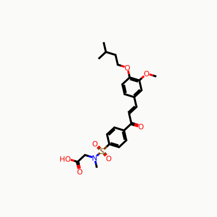 COc1cc(/C=C/C(=O)c2ccc(S(=O)(=O)N(C)CC(=O)O)cc2)ccc1OCCC(C)C